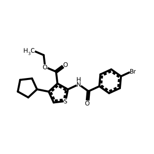 CCOC(=O)c1c(C2CCCC2)csc1NC(=O)c1ccc(Br)cc1